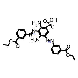 CCOC(=O)c1cccc(/N=N/c2cc(S(=O)(=O)O)c(N)c(/N=N/c3cccc(C(=O)OCC)c3)c2N)c1